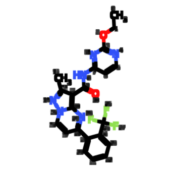 CCOc1nccc(NC(=O)c2c(C)nn3ccc(-c4ccccc4C(F)(F)F)nc23)n1